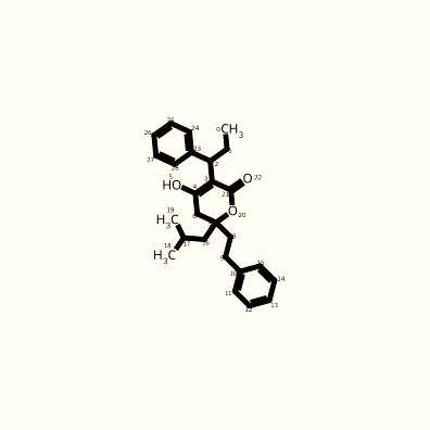 CCC(C1=C(O)CC(CCc2ccccc2)(CC(C)C)OC1=O)c1ccccc1